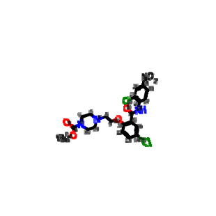 CC(C)(C)OC(=O)N1CCN(CCOc2ccc(Cl)cc2C(=O)Nc2ccc([N+](=O)[O-])cc2Cl)CC1